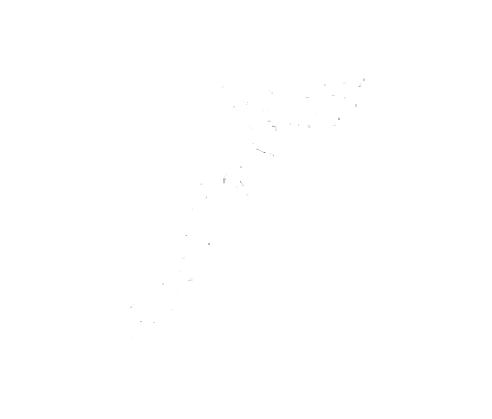 CCC(C)(CC(O)COC(C)(C)CC(O)COCC(O)C(=O)O)OCC(O)CNC(=O)CCC(=O)NCCN(C[C@H](O)[C@@H](O)[C@H](O)[C@H](O)CO)C[C@H](O)[C@@H](O)[C@H](O)[C@H](O)CO